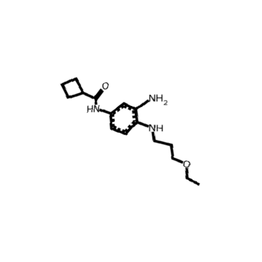 CCOCCCNc1ccc(NC(=O)C2CCC2)cc1N